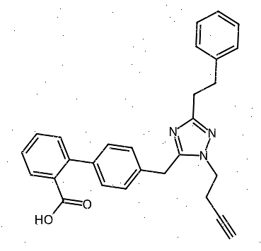 C#CCCn1nc(CCc2ccccc2)nc1Cc1ccc(-c2ccccc2C(=O)O)cc1